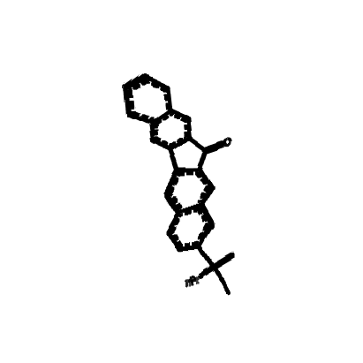 CCCC(C)(C)c1ccc2cc3c(cc2c1)C(=O)c1cc2ccccc2cc1-3